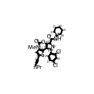 CCCC#Cc1ccc(-c2c(OC(=O)NC)c(C(=O)NN3CCCCC3)nn2-c2ccc(Cl)cc2Cl)s1